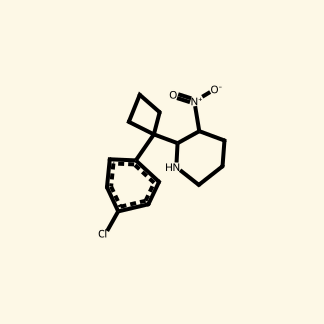 O=[N+]([O-])C1CCCNC1C1(c2ccc(Cl)cc2)CCC1